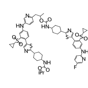 CC(C)OC(=O)NC1CCC(c2ncc(-c3ccc(Nc4ccc(CC(C)OC(=O)NC5CCC(c6ncc(-c7ccc(Nc8ccc(F)cn8)cc7S(=O)(=O)C7CC7)s6)CC5)nc4)cc3S(=O)(=O)C3CC3)s2)CC1